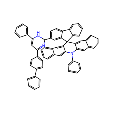 C1=C(c2ccccc2)NC(c2ccc3c(c2)C2(c4ccccc4-3)c3cc4ccccc4cc3N(c3ccccc3)c3cc4ccccc4cc32)N=C1c1ccc(-c2ccccc2)cc1